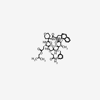 CC(C)COC(=O)CC[C@H](NC(=O)C1(NC(=O)[C@@H](N)Cc2ccc3ccccc3c2)CCOCC1)C(=O)N[C@@H](CCC(N)=O)C(=O)N[C@@H](Cc1cccnc1)C(=O)N(C)CC(N)=O